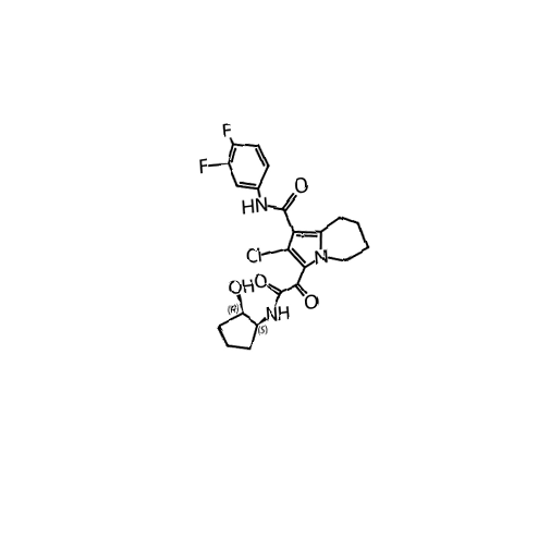 O=C(N[C@H]1CCC[C@H]1O)C(=O)c1c(Cl)c(C(=O)Nc2ccc(F)c(F)c2)c2n1CCCC2